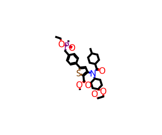 CCOP(C)(=O)Cc1ccc(-c2cc(N(C(=O)C3CCC(C)CC3)C3CCC4(CC3)OCCO4)c(C(=O)OC)s2)cc1